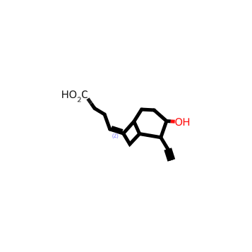 C#CC1C(O)CCC2/C(=C\CCC(=O)O)CC21